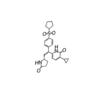 O=C1CC[C@H](/C=C(/c2ccc(S(=O)(=O)C3CCCC3)cc2)c2ccc(C3CC3)c(=O)[nH]2)N1